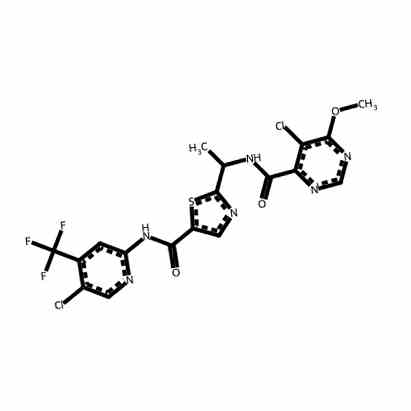 COc1ncnc(C(=O)NC(C)c2ncc(C(=O)Nc3cc(C(F)(F)F)c(Cl)cn3)s2)c1Cl